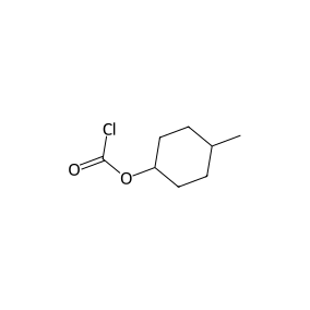 CC1CCC(OC(=O)Cl)CC1